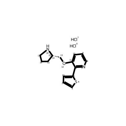 Cl.Cl.c1csc(-c2ncccc2OC[C@@H]2CCCN2)c1